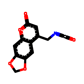 O=C=NCc1cc(=O)oc2cc3c(cc12)OCO3